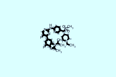 CCN1CCC([C@H](c2ccc(Nc3ncc(F)c(-c4cc(F)c5nc(C)n(C(C)C)c5c4)n3)nc2)S(C)(=O)=O)CC1